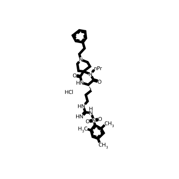 CCCN1C(=O)[C@H](CCCNC(=N)NS(=O)(=O)c2c(C)cc(C)cc2C)NC(=O)C12CCN(CCc1ccccc1)CC2.Cl